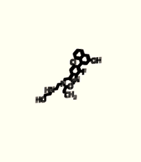 C=CC(=O)N(CCNCCO)Cc1snc2c(F)c(-c3cc(O)cc4ccccc34)c(Cl)cc12